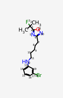 CC(C)(F)c1nc(CCCCCNc2cccc(Br)c2)no1